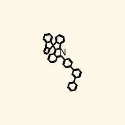 c1ccc(-c2cccc(-c3ccc(-c4nc5c(c6ccccc46)C4(c6ccccc6-c6ccccc64)c4ccccc4-5)cc3)c2)cc1